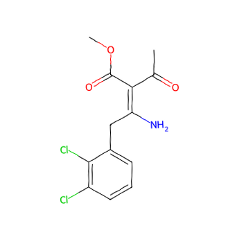 COC(=O)C(C(C)=O)=C(N)Cc1cccc(Cl)c1Cl